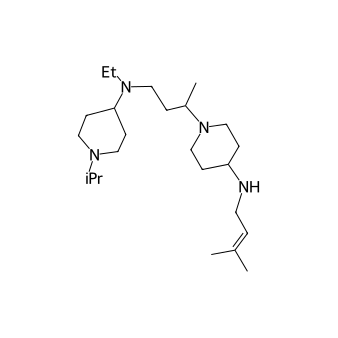 CCN(CCC(C)N1CCC(NCC=C(C)C)CC1)C1CCN(C(C)C)CC1